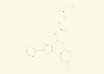 COC(=O)NCC(=O)N(C)C(Cc1ccc([N+](=O)[O-])cc1)c1csc(-c2cccs2)n1